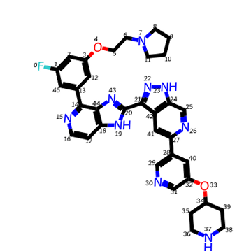 Fc1cc(OCCN2CCCC2)cc(-c2nccc3[nH]c(-c4n[nH]c5cnc(-c6cncc(OC7CCNCC7)c6)cc45)nc23)c1